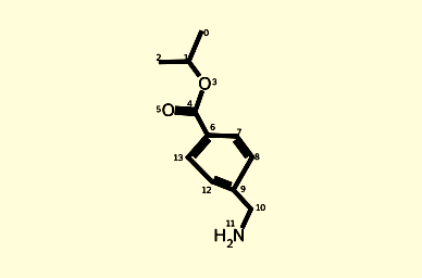 CC(C)OC(=O)c1ccc(CN)cc1